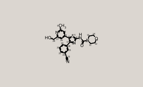 Cc1cc(-c2sc(NC(=O)N3CCOCC3)nc2-c2cccc(C#N)c2)cc(CO)n1